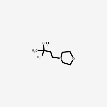 CC(C)(CCN1CCOCC1)C(=O)O